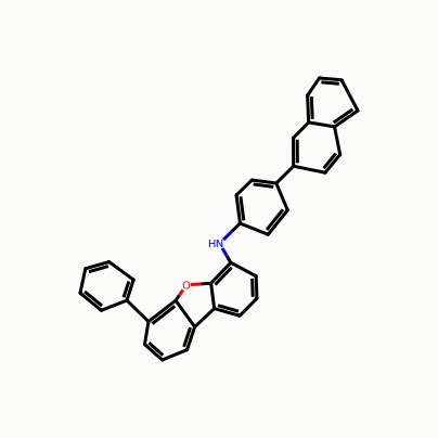 c1ccc(-c2cccc3c2oc2c(Nc4ccc(-c5ccc6ccccc6c5)cc4)cccc23)cc1